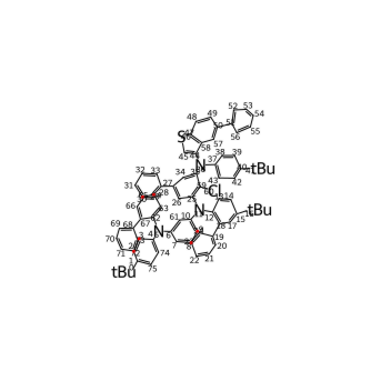 CC(C)(C)c1ccc(N(c2cccc(N(c3ccc(C(C)(C)C)cc3-c3ccccc3)c3cc(-c4ccccc4)cc(N(c4ccc(C(C)(C)C)cc4)c4csc5ccc(-c6ccccc6)cc45)c3Cl)c2)c2ccccc2-c2ccccc2)cc1